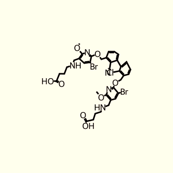 COc1nc(OCc2cccc(-c3cccc(COc4nc(OC)c(CNCCCC(=O)O)cc4Br)c3C#N)c2Cl)c(Br)cc1CNCCCC(=O)O